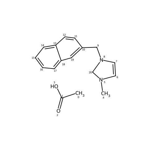 CC(=O)O.CN1C=CN(Cc2ccc3ccccc3c2)C1